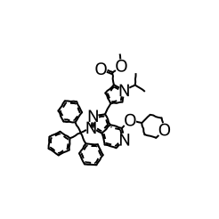 COC(=O)c1cc(-c2nn(C(c3ccccc3)(c3ccccc3)c3ccccc3)c3ccnc(OC4CCOCC4)c23)cn1C(C)C